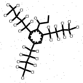 CCC([O])c1c(C(Cl)(Cl)C(Cl)(Cl)C(Cl)(Cl)C(Cl)(Cl)Cl)cc(C(Cl)(Cl)C(Cl)(Cl)C(Cl)(Cl)C(Cl)(Cl)Cl)cc1C(Cl)(Cl)C(Cl)(Cl)C(Cl)(Cl)C(Cl)(Cl)Cl